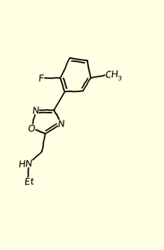 CCNCc1nc(-c2cc(C)ccc2F)no1